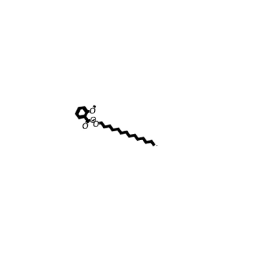 [CH2]CCCCCCCCCCCCCOOC(=O)c1ccccc1OC